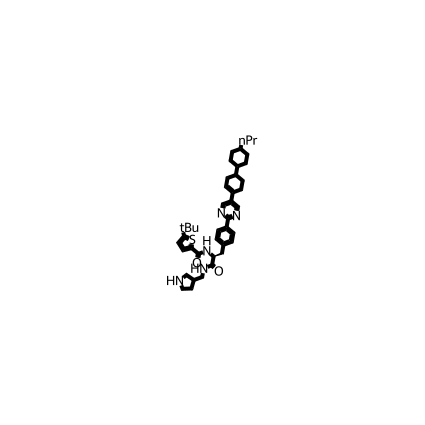 CCCC1CCC(C2CC=C(c3cnc(-c4ccc(C[C@H](NC(=O)c5ccc(C(C)(C)C)s5)C(=O)NCC5CCNC5)cc4)nc3)CC2)CC1